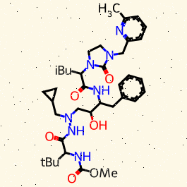 CCC(C)C(C(=O)NC(Cc1ccccc1)C(O)CN(CC1CC1)NC(=O)C(NC(=O)OC)C(C)(C)C)N1CCN(Cc2cccc(C)n2)C1=O